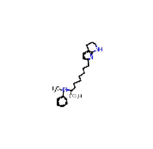 C[C@@H](N[C@@H](CCCCCCCc1ccc2c(n1)NCCC2)C(=O)O)c1ccccc1